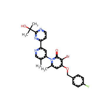 Cc1cnc(-c2ccnc(C(C)(C)O)n2)cc1-n1c(C)cc(OCc2ccc(F)cc2)c(Br)c1=O